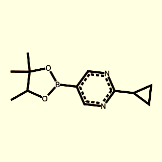 CC1OB(c2cnc(C3CC3)nc2)OC1(C)C